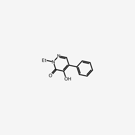 CCn1ncc(-c2ccccc2)c(O)c1=O